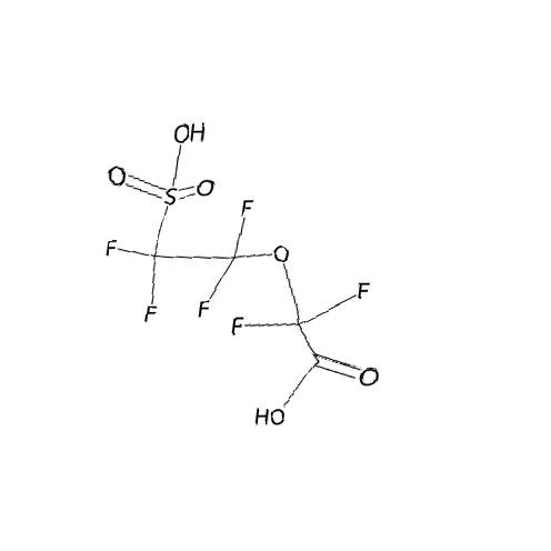 O=C(O)C(F)(F)OC(F)(F)C(F)(F)S(=O)(=O)O